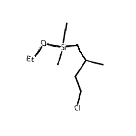 CCO[Si](C)(C)CC(C)CCCl